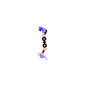 CC(C)(c1ccc(OCCCOC(N)=O)cc1)c1ccc(OCc2ccnc(-n3ccnn3)n2)cc1